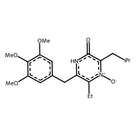 CCc1c(Cc2cc(OC)c(OC)c(OC)c2)[nH]c(=O)c(CC(C)C)[n+]1[O-]